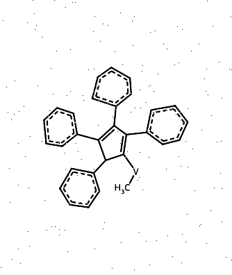 [CH3][V][C]1=C(c2ccccc2)C(c2ccccc2)=C(c2ccccc2)C1c1ccccc1